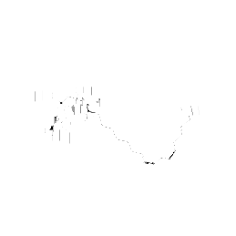 CCCCC/C=C\C/C=C\CCCCCCCC(=O)NC(C)(C)CC(C)(C)O[PH](=O)O